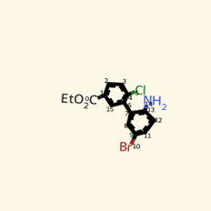 CCOC(=O)c1ccc(Cl)c(-c2cc(Br)ccc2N)c1